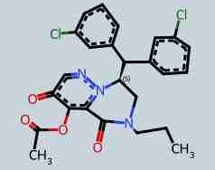 CCCN1C[C@H](C(c2cccc(Cl)c2)c2cccc(Cl)c2)n2ncc(=O)c(OC(C)=O)c2C1=O